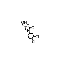 O=C1O[C@@H](CO)CN1c1ccc(Cl)c(Cl)c1